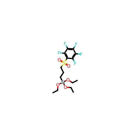 CCO[Si](CCCS(=O)(=O)c1c(F)c(F)c(F)c(F)c1F)(OCC)OCC